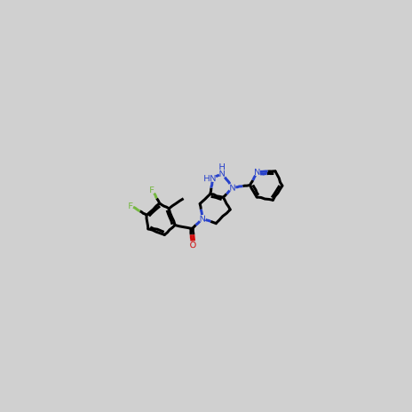 Cc1c(C(=O)N2CCC3=C(C2)NNN3c2ccccn2)ccc(F)c1F